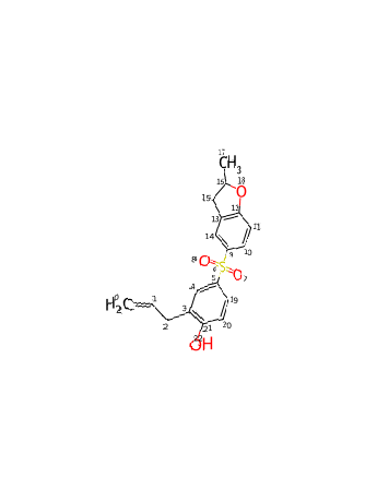 C=CCc1cc(S(=O)(=O)c2ccc3c(c2)CC(C)O3)ccc1O